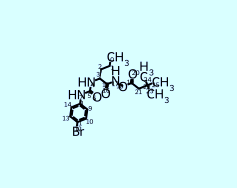 CCC[C@H](NC(=O)Nc1ccc(Br)cc1)C(=O)NOC(=O)CC(C)(C)C